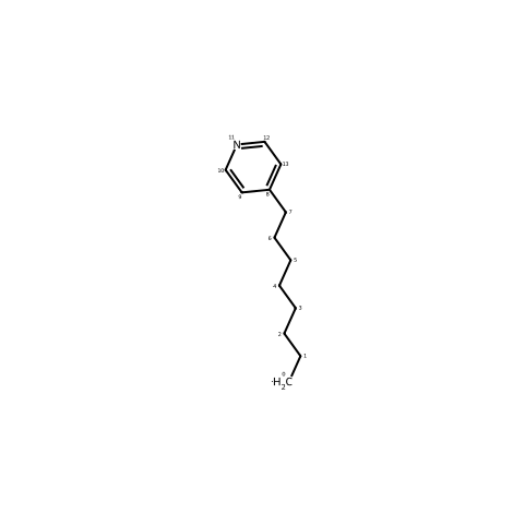 [CH2]CCCCCCCc1ccncc1